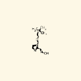 C[Si](C)(C)CCOCn1ccnc1C=NO